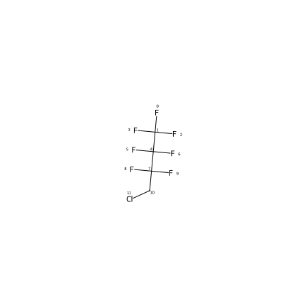 FC(F)(F)C(F)(F)C(F)(F)CCl